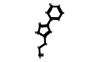 OCCc1cc(-c2cccnc2)no1